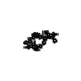 O=S(=O)(O)c1cc(Nc2nc(Nc3ccc(C=Cc4ccc(Nc5nc(Nc6cc(S(=O)(=O)O)cc7cc(S(=O)(=O)O)c(N=Nc8ccccc8)c(O)c67)nc(N6CCOCC6)n5)cc4S(=O)(=O)O)c(S(=O)(=O)O)c3)nc(N3CCOCC3)n2)c2c(O)c(N=Nc3ccccc3)c(S(=O)(=O)O)cc2c1